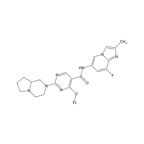 CCOc1nc(N2CCN3CCCC3C2)ncc1C(=O)Nc1cc(F)c2nc(C)cn2c1